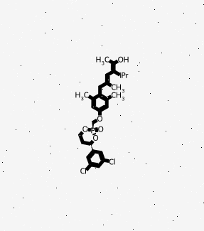 C/C(=C\C(=C(/C)O)C(C)C)Cc1c(C)cc(OC[P@]2(=O)OCC[C@@H](c3cc(Cl)cc(Cl)c3)O2)cc1C